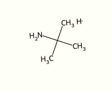 CC(C)(C)N.[H]